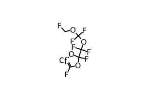 FCOC(F)(F)OC(F)(F)C1(F)[O][Cf]=[C](F)O1